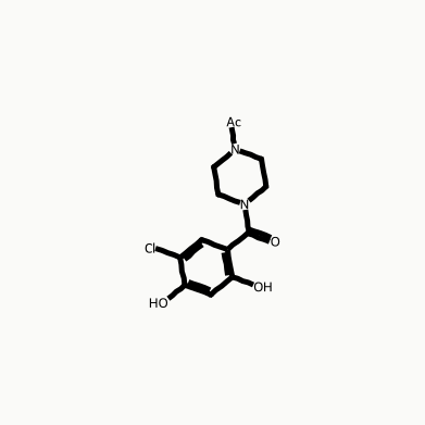 CC(=O)N1CCN(C(=O)c2cc(Cl)c(O)cc2O)CC1